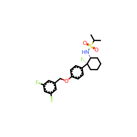 CC(C)S(=O)(=O)N[C@@H]1CCCC[C@@]1(F)c1ccc(OCc2cc(F)cc(F)c2)cc1